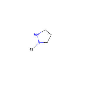 C[CH]N1CCCN1